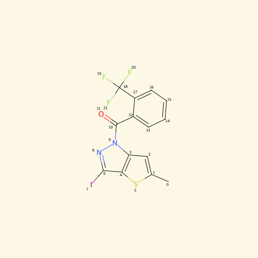 Cc1cc2c(s1)c(I)nn2C(=O)c1ccccc1C(F)(F)F